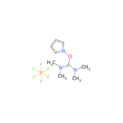 CN(C)C(On1cccc1)=[N+](C)C.F[P-](F)(F)(F)(F)F